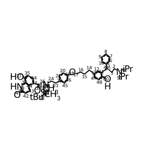 CC(C)N(CC[C@H](c1ccccc1)c1cc(CCCCOc2ccc(CCNC[C@H](O[Si](C)(C)C(C)(C)C)c3ccc(O)c4[nH]c(=O)ccc34)cc2)ccc1O)C(C)C